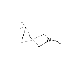 C[C@H]1CC12CN(C)C2